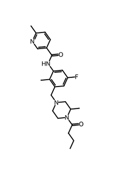 CCCC(=O)N1CCN(Cc2cc(F)cc(NC(=O)c3ccc(C)nc3)c2C)CC1C